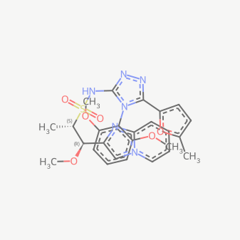 COc1cccc(OC)c1-n1c(NS(=O)(=O)[C@@H](C)[C@H](OC)c2cn3ccccc3n2)nnc1-c1ccc(C)o1